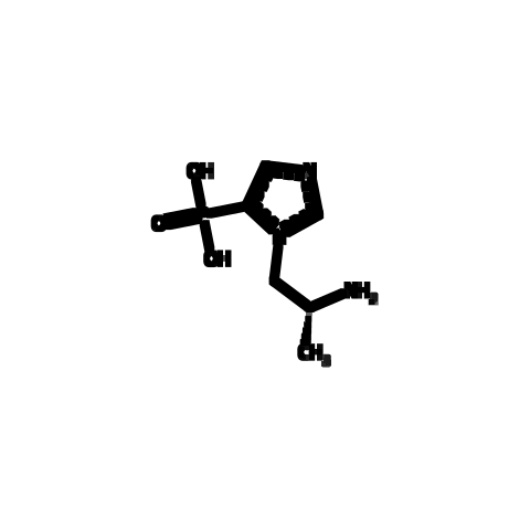 C[C@@H](N)Cn1cncc1P(=O)(O)O